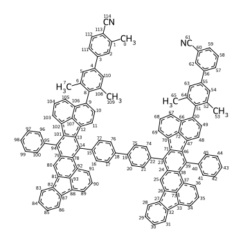 Cc1cc(-c2cc(C)c(-c3ccc4c5c(-c6ccc(-c7ccc(-c8c9cc%10c%11ccccc%11c%11cccc(c9c(-c9ccccc9)c9c%12ccc(-c%13c(C)cc(-c%14cccc(C#N)c%14)cc%13C)c%13cccc(c89)c%13%12)c%11%10)cc7)cc6)c6c(cc7c8ccccc8c8cccc6c87)c(-c6ccccc6)c5c5cccc3c54)c(C)c2)ccc1C#N